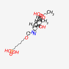 CCCC1O[C@@H]2C[C@H]3[C@@H]4CCC5=Cc6c(cnn6-c6cccc(OCCCCCCCCCP(=O)(O)O)c6)C[C@]5(C)[C@H]4[C@@H](O)C[C@]3(C)[C@]2(C(=O)CO)O1